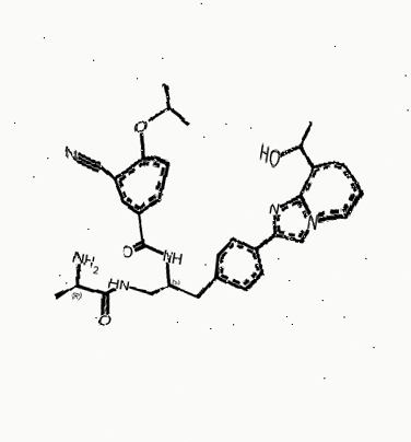 CC(C)Oc1ccc(C(=O)N[C@H](CNC(=O)[C@@H](C)N)Cc2ccc(-c3cn4cccc(C(C)O)c4n3)cc2)cc1C#N